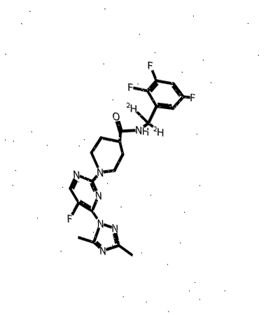 [2H]C([2H])(NC(=O)C1CCN(c2ncc(F)c(-n3nc(C)nc3C)n2)CC1)c1cc(F)cc(F)c1F